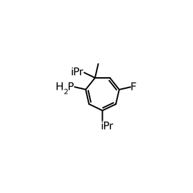 CC(C)C1=CC(F)=CC(C)(C(C)C)C(P)=C1